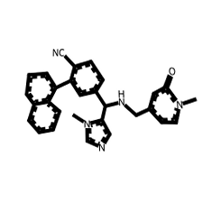 Cn1cncc1C(NCc1ccn(C)c(=O)c1)c1ccc(C#N)c(-c2cccc3ccccc23)c1